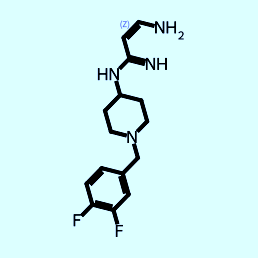 N=C(/C=C\N)NC1CCN(Cc2ccc(F)c(F)c2)CC1